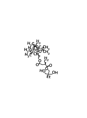 C=C(CC(=O)OCCC[Si](O[Si](C)(C)C)(O[Si](C)(C)C)O[Si](C)(C)C)C(=O)OCC(CC)(CO)CO